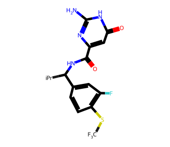 CC(C)C(NC(=O)c1cc(=O)[nH]c(N)n1)c1ccc(SC(F)(F)F)c(F)c1